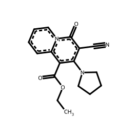 CCOC(=O)c1c(N2CCCC2)c(C#N)c(=O)n2ccccc12